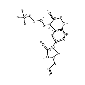 C=CCC1CN(c2cnc3c(n2)N(COCCS(C)(C)C)C(=O)CO3)C(=O)O1